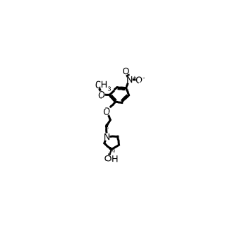 COc1cc([N+](=O)[O-])ccc1OCCN1CC[C@@H](O)C1